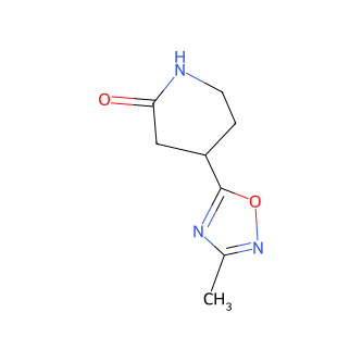 Cc1noc(C2CCNC(=O)C2)n1